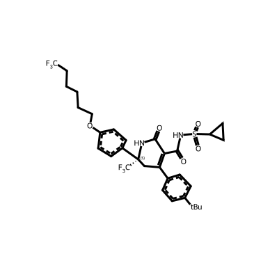 CC(C)(C)c1ccc(C2=C(C(=O)NS(=O)(=O)C3CC3)C(=O)N[C@@](c3ccc(OCCCCCC(F)(F)F)cc3)(C(F)(F)F)C2)cc1